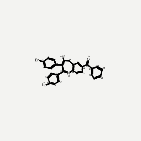 CCC1=C(c2ccc(Br)cc2)C(c2ccc(Br)cc2)=Nc2ccc(C(=O)c3ccccc3)cc2C1